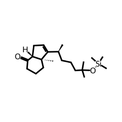 C[C@@H](CCCC(C)(C)O[Si](C)(C)C)C1=CC[C@H]2C(=O)CCC[C@]12C